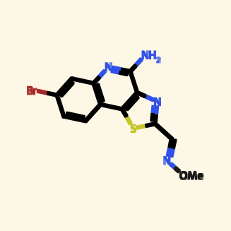 CON=Cc1nc2c(N)nc3cc(Br)ccc3c2s1